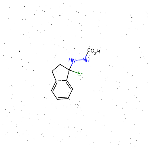 O=C(O)NNC1(Br)CCc2ccccc21